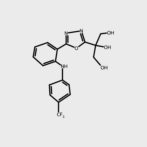 OCC(O)(CO)c1nnc(-c2ccccc2Nc2ccc(C(F)(F)F)cc2)o1